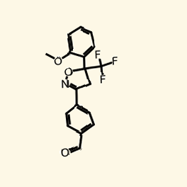 COc1ccccc1C1(C(F)(F)F)CC(c2ccc(C=O)cc2)=NO1